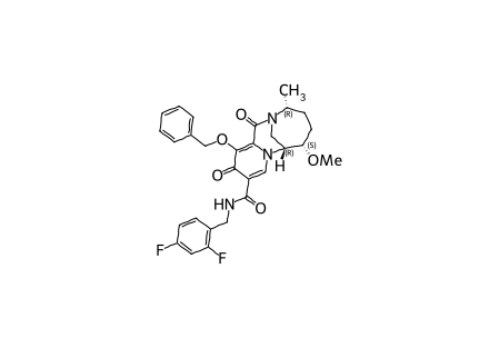 CO[C@H]1CC[C@@H](C)N2C[C@H]1n1cc(C(=O)NCc3ccc(F)cc3F)c(=O)c(OCc3ccccc3)c1C2=O